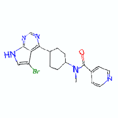 CN(C(=O)c1ccncc1)C1CCC(c2ncnc3[nH]cc(Br)c23)CC1